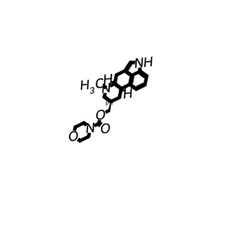 CN1C[C@H](COC(=O)N2CCOCC2)C[C@@H]2c3cccc4[nH]cc(c34)C[C@H]21